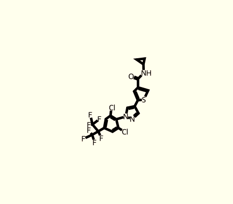 O=C(NC1CC1)c1csc(-c2cnn(-c3c(Cl)cc(C(F)(C(F)(F)F)C(F)(F)F)cc3Cl)c2)c1